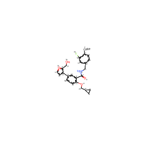 COc1ccc(CNC(=O)c2cc(-c3ccoc3CO)ccc2OCC2CC2)cc1F